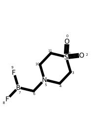 O=S1(=O)CCN(CB(F)F)CC1